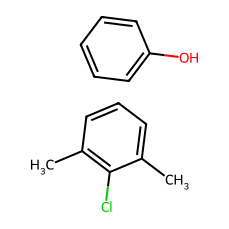 Cc1cccc(C)c1Cl.Oc1ccccc1